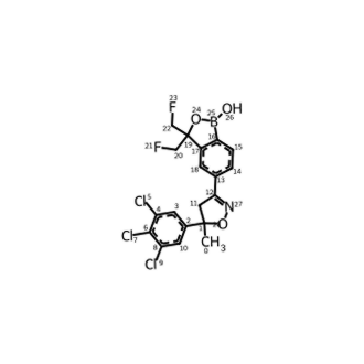 CC1(c2cc(Cl)c(Cl)c(Cl)c2)CC(c2ccc3c(c2)C(CF)(CF)OB3O)=NO1